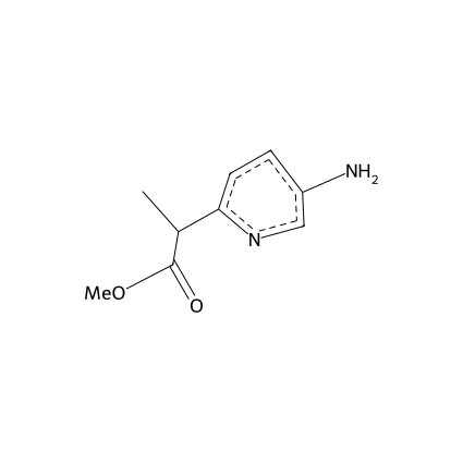 COC(=O)C(C)c1ccc(N)cn1